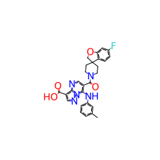 Cc1cccc(Nc2c(C(=O)N3CCC4(CC3)COc3cc(F)ccc34)cnc3c(C(=O)O)cnn23)c1